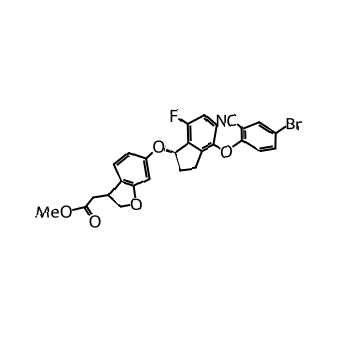 COC(=O)CC1COc2cc(O[C@@H]3CCc4c(Oc5ccc(Br)cc5C#N)ccc(F)c43)ccc21